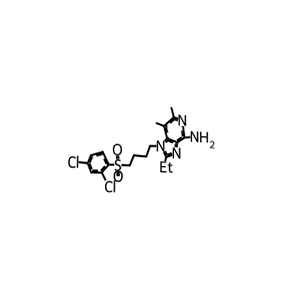 CCc1nc2c(N)nc(C)c(C)c2n1CCCCS(=O)(=O)c1ccc(Cl)cc1Cl